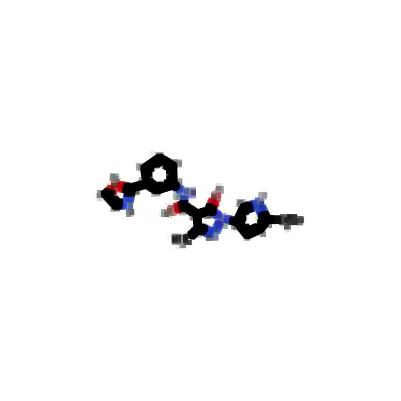 COc1ccc(N2N=C(C)C(C(=O)Nc3cccc(-c4ncco4)c3)C2=O)cn1